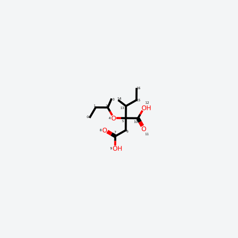 CCC(C)OC(CC(=O)O)(C(=O)O)C(C)CC